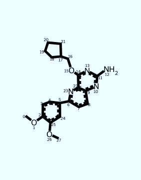 COc1ccc(-c2ccc3nc(N)nc(OCC4CCCC4)c3n2)cc1OC